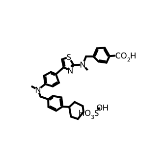 CN(Cc1ccc(C2CCCCC2)cc1)c1ccc(-c2csc(N(C)Cc3ccc(C(=O)O)cc3)n2)cc1.O=S(=O)(O)O